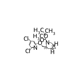 CC(C)(C)OC(=O)N1C[C@H]2C[C@H]2C[C@H]1COc1cc(Cl)cc(Cl)n1